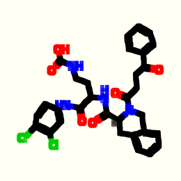 O=C(O)NCCC(NC(=O)[C@@H]1Cc2ccccc2CN1C(=O)CCC(=O)c1ccccc1)C(=O)Nc1ccc(Cl)c(Cl)c1